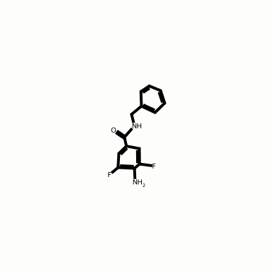 Nc1c(F)cc(C(=O)NCc2ccccc2)cc1F